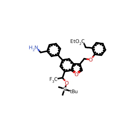 CCOC(=O)Cc1ccccc1OCc1coc2c(C(O[Si](C)(C)C(C)(C)C)C(F)(F)F)cc(-c3cccc(CN)c3)cc12